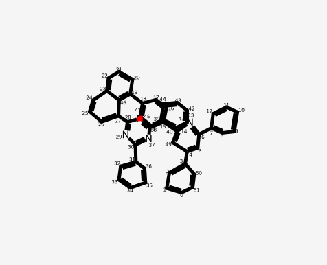 c1ccc(-c2cc(-c3ccccc3)nc(-c3ccc(-c4cccc5cccc(-c6nc(-c7ccccc7)nc(-c7ccccc7)n6)c45)cc3)c2)cc1